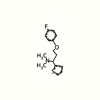 CN(C)C(CCOc1ccc(F)cc1)c1cccs1